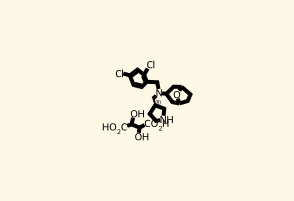 Clc1ccc(CN(C[C@@H]2CCNC2)C2CC3CCC(C2)O3)c(Cl)c1.O=C(O)C(O)C(O)C(=O)O